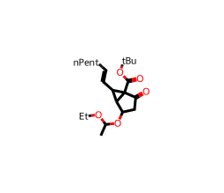 CCCCCC=CC1C2C(OC(C)OCC)CC(=O)C12C(=O)OC(C)(C)C